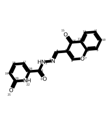 O=C(N/N=C/c1coc2ccccc2c1=O)c1cccc(=O)[nH]1